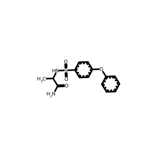 CC(NS(=O)(=O)c1ccc(Oc2ccccc2)cc1)C(N)=O